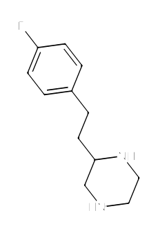 Fc1ccc(CCC2CNCCN2)cc1